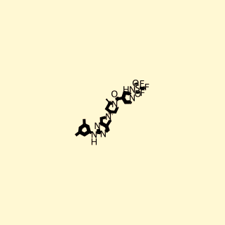 Cc1cc(C)cc(Nc2ncc3c(n2)CN([C@@H]2CCN(C(=O)c4ccnc(NS(=O)(=O)C(F)(F)F)c4)[C@H](C)C2)C3)c1